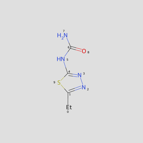 CCc1nnc(NC(N)=O)s1